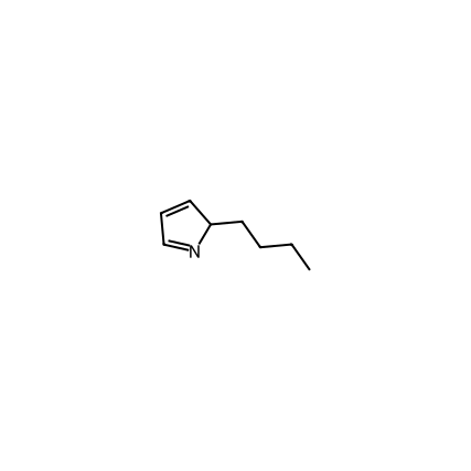 CCCCC1C=CC=N1